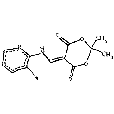 CC1(C)OC(=O)C(=CNc2ncccc2Br)C(=O)O1